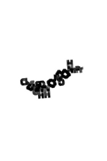 CCCNc1ccc2c(=O)n(-c3ccc(NC(=O)NS(=O)(=O)c4ccc(Cl)s4)cc3)ccc2c1